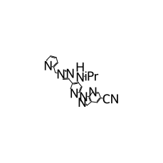 CC(C)Nc1cc(-n2ncc3cc(C#N)cnc32)ncc1-c1cn(Cc2ccccn2)cn1